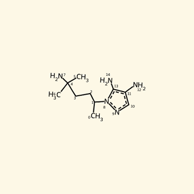 CC(CCC(C)(C)N)n1ncc(N)c1N